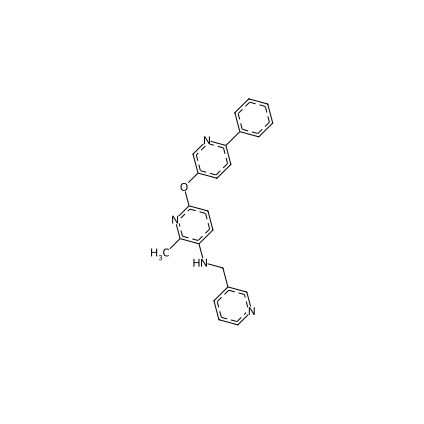 Cc1nc(Oc2ccc(-c3ccccc3)nc2)ccc1NCc1cccnc1